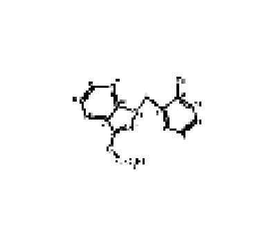 CCOC(=O)Oc1nn(Cc2ccccc2F)c2ncccc12